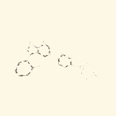 CN1CCN(c2ccc(-c3cnc4[nH]cc(-c5ccccc5F)c4c3)cc2)CC1